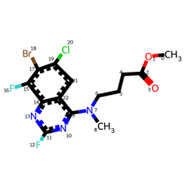 COC(=O)CCCN(C)c1nc(F)nc2c(F)c(Br)c(Cl)cc12